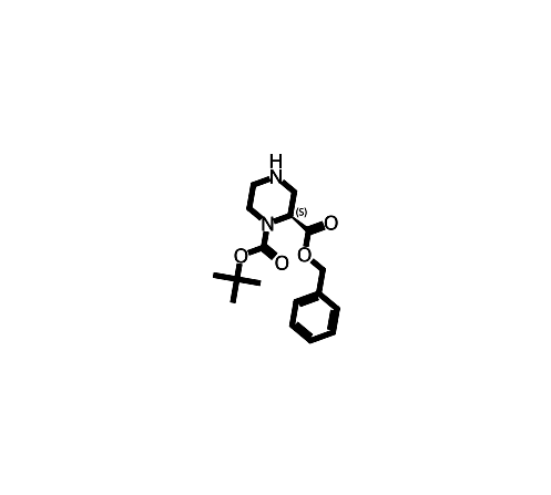 CC(C)(C)OC(=O)N1CCNC[C@H]1C(=O)OCc1ccccc1